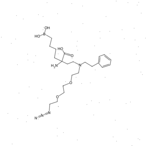 [N-]=[N+]=NCCOCCOCCN(CCc1ccccc1)CCC(N)(CCCCB(O)O)C(=O)O